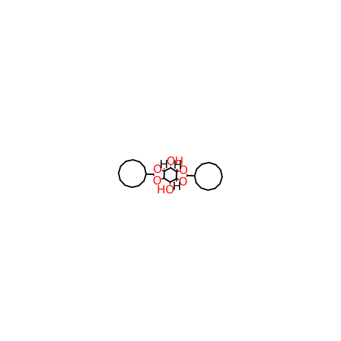 O[C@@H]1[C@@H]2OC(C3CCCCCCCCCCC3)O[C@@H]2[C@@H](O)C2OC(C3CCCCCCCCCCC3)O[C@H]21